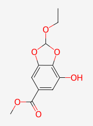 CCOC1Oc2cc(C(=O)OC)cc(O)c2O1